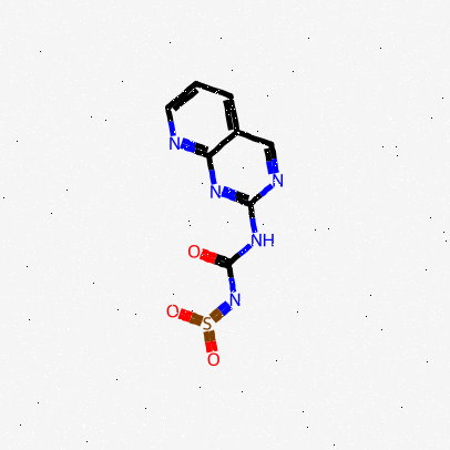 O=C(N=S(=O)=O)Nc1ncc2cccnc2n1